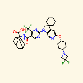 O=C(NC1(C(=O)O)C2CC3CC(C2)CC1C3)c1cnc(N2CC3(CCCCC3)c3cc(O[C@H]4CC[C@H](N5CC(F)(F)C5)CC4)ncc32)nc1C(F)(F)F